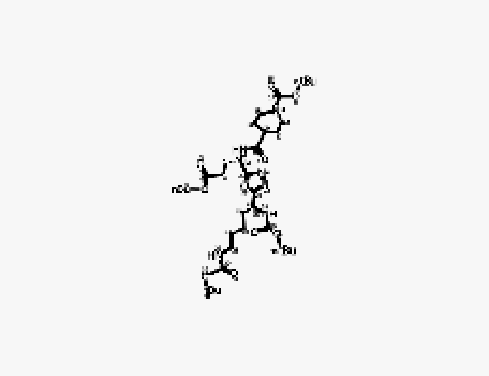 CCCCOC(=O)CC[C@H](NC(=O)C1CCN(C(=O)OC(C)(C)C)CC1)c1nnc([C@H](CCCCNC(=O)OC(C)(C)C)NC(=O)OC(C)(C)C)o1